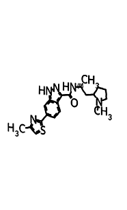 Cc1csc(-c2ccc3c(C(=O)N[C@H](C)CC4CCCN4C)n[nH]c3c2)n1